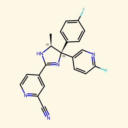 C[C@@H]1NC(c2ccnc(C#N)c2)=N[C@@]1(c1ccc(F)cc1)c1ccc(F)nc1